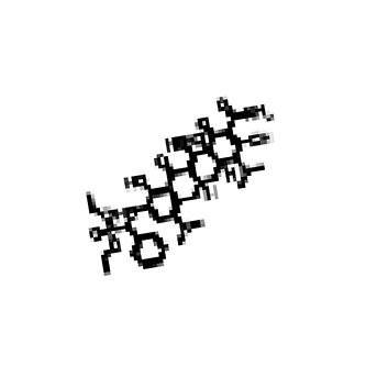 CCOP(=O)(OCC)C(Nc1cc(N(C)C)c2c(c1O)C(=O)C1=C(O)[C@]3(O)C(=O)C(C(N)=O)=C(O)[C@@H](N(C)C)[C@H]3C[C@@H]1C2)c1ccccc1